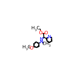 CCOC(=O)/C(=N/N(C)c1ccc(OC)cc1)c1ccccn1